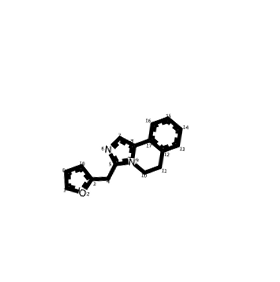 c1coc(Cc2ncc3n2CCc2ccccc2-3)c1